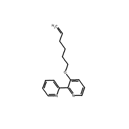 C=CCCCCOc1cccnc1-c1ccccn1